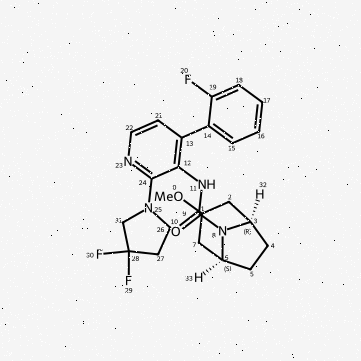 COC1C[C@H]2CC[C@@H](C1)N2C(=O)Nc1c(-c2ccccc2F)ccnc1N1CCC(F)(F)C1